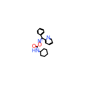 O=C(NC1CCCCC1)O/N=C(/c1ccccc1)c1ccccn1